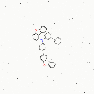 c1ccc(-c2cccc(N(c3ccc(-c4ccc5oc6ccccc6c5c4)cc3)c3cccc4oc5ccccc5c34)c2)cc1